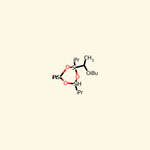 CC(C)COC(C)[Si]1(C(C)C)O[SiH](C(C)C)O[SiH](C(C)C)O1